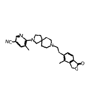 Cc1cc(C#N)cnc1N1CCC2(CCN(CCc3ccc4c(c3C)COC4=O)CC2)C1